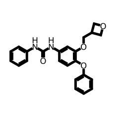 O=C(Nc1ccccc1)Nc1ccc(Oc2ccccc2)c(OCC2COC2)c1